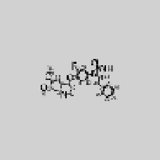 COc1cc2nccc(Oc3ccc(N4C(=O)NCC4Cc4ccccc4)cc3F)c2cc1OC